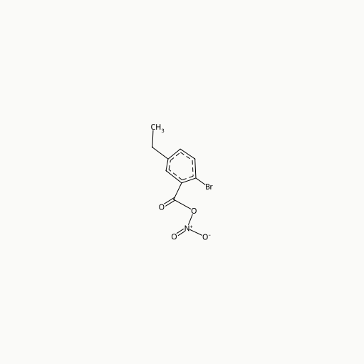 CCc1ccc(Br)c(C(=O)O[N+](=O)[O-])c1